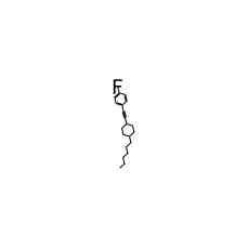 CCCCCCC1CCC(C#Cc2ccc(F)cc2)CC1